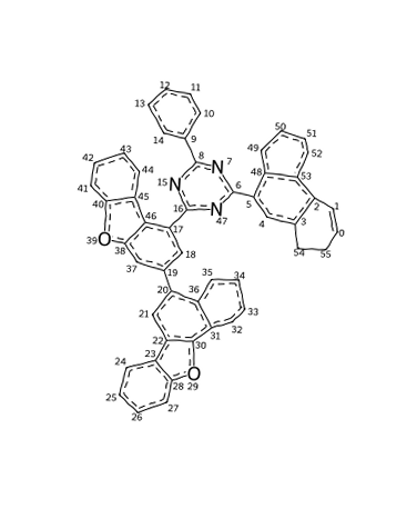 C1=Cc2c(cc(-c3nc(-c4ccccc4)nc(-c4cc(-c5cc6c7ccccc7oc6c6ccccc56)cc5oc6ccccc6c45)n3)c3ccccc23)CC1